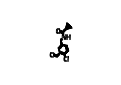 O=Cc1cc(CNC(=O)C2CC2)ccc1Cl